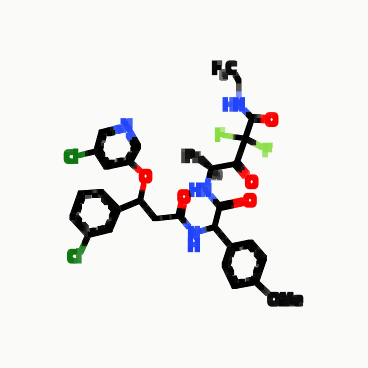 COc1ccc(C(NC(=O)CC(Oc2cncc(Cl)c2)c2cccc(Cl)c2)C(=O)N[C@H](C(=O)C(F)(F)C(=O)NCC(F)(F)F)C(C)C)cc1